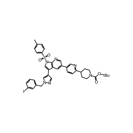 Cc1ccc(S(=O)(=O)n2cc(-c3cnn(Cc4cccc(F)c4)c3)c3cc(-c4ccc(C5CCN(C(=O)OC(C)(C)C)CC5)nc4)cnc32)cc1